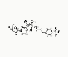 COn1c(NCCCc2ccc(C(F)(F)F)cc2)nc2c(c1=O)CN(C(=O)OC(C)(C)C)CC2